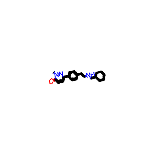 Cn1nc(-c2ccc(CCNCC3CCCCC3)cc2)ccc1=O